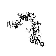 CCCC(NC(=O)C(C)(C)CNC(=O)CNC(=O)C(CCC1CCCCC1)NCC1CCCN1C)C(=O)NCC(=O)NCC(C)(C)C(=O)NCC(C)(C)C(=O)NCCC(=O)NC1(CN(C)C)CCC1